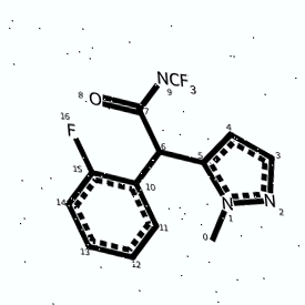 Cn1nccc1C(C(=O)NC(F)(F)F)c1ccccc1F